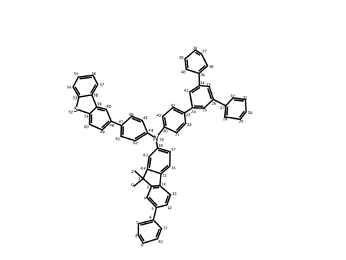 CC1(C)c2cc(-c3ccccc3)ccc2-c2ccc(N(c3ccc(-c4cc(-c5ccccc5)cc(-c5ccccc5)c4)cc3)c3ccc(-c4ccc5sc6ccccc6c5c4)cc3)cc21